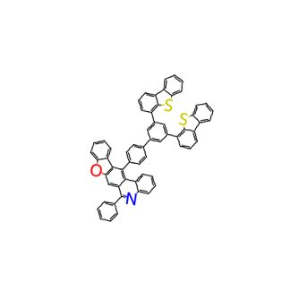 c1ccc(-c2nc3ccccc3c3c(-c4ccc(-c5cc(-c6cccc7c6sc6ccccc67)cc(-c6cccc7c6sc6ccccc67)c5)cc4)c4c(cc23)oc2ccccc24)cc1